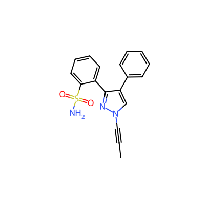 CC#Cn1cc(-c2ccccc2)c(-c2ccccc2S(N)(=O)=O)n1